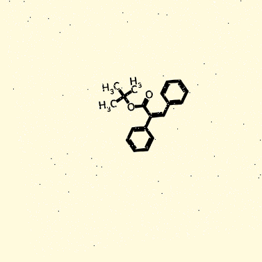 CC(C)(C)OC(=O)C(=Cc1ccccc1)c1ccccc1